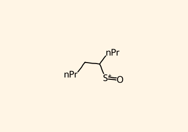 [CH2]CCCC(CCC)[S+]=O